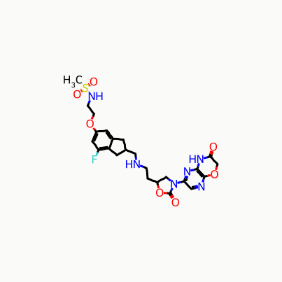 CS(=O)(=O)NCCOc1cc(F)c2c(c1)CC(CNCCC1CN(c3cnc4c(n3)NC(=O)CO4)C(=O)O1)C2